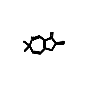 CC1(C)C=CC2=C(C=N1)NC(=O)C2